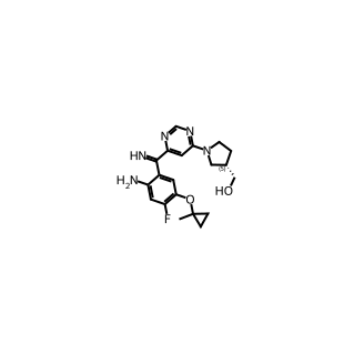 CC1(Oc2cc(C(=N)c3cc(N4CC[C@H](CO)C4)ncn3)c(N)cc2F)CC1